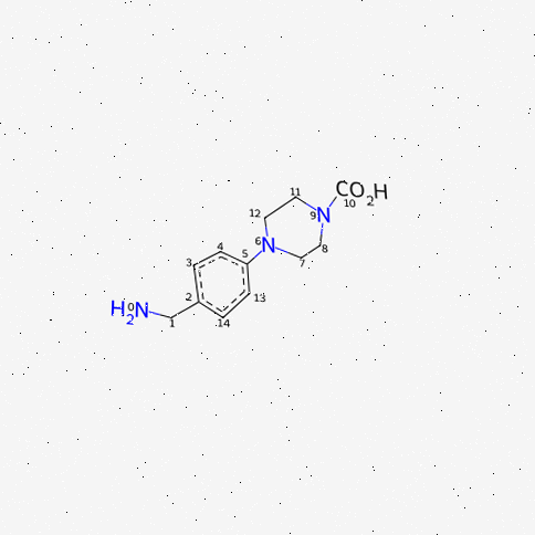 NCc1ccc(N2CCN(C(=O)O)CC2)cc1